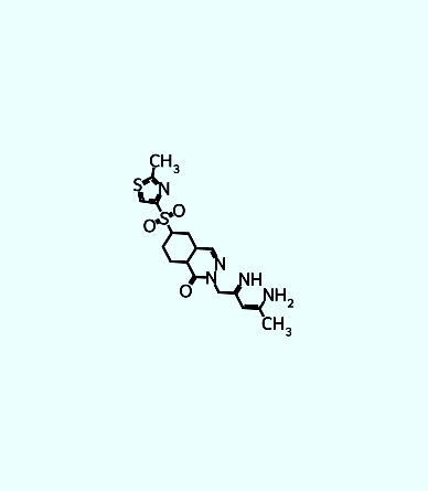 C/C(N)=C/C(=N)CN1N=CC2CC(S(=O)(=O)c3csc(C)n3)CCC2C1=O